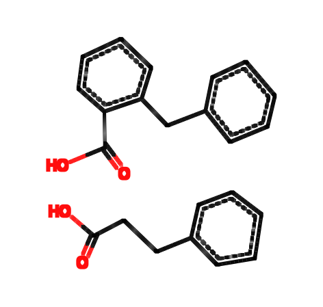 O=C(O)CCc1ccccc1.O=C(O)c1ccccc1Cc1ccccc1